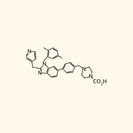 Cc1ccc(C)c(Cn2c(Cc3ccncc3)nc3ccc(-c4ccc(CN5CCN(C(=O)O)CC5)cc4)cc32)c1